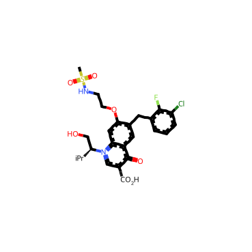 CC(C)[C@@H](CO)n1cc(C(=O)O)c(=O)c2cc(Cc3cccc(Cl)c3F)c(OCCNS(C)(=O)=O)cc21